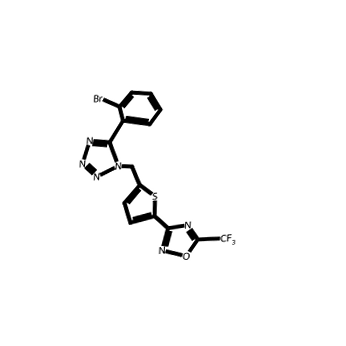 FC(F)(F)c1nc(-c2ccc(Cn3nnnc3-c3ccccc3Br)s2)no1